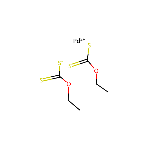 CCOC(=S)[S-].CCOC(=S)[S-].[Pd+2]